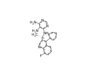 C[C@H](Nc1ncnc(N)c1N)c1cnc2c(F)cccc2c1-c1ccccc1